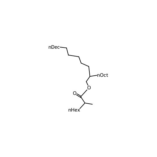 CCCCCCCCCCCCCCCC(CCCCCCCC)COC(=O)C(C)CCCCCC